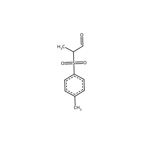 Cc1ccc(S(=O)(=O)C(C)C=O)cc1